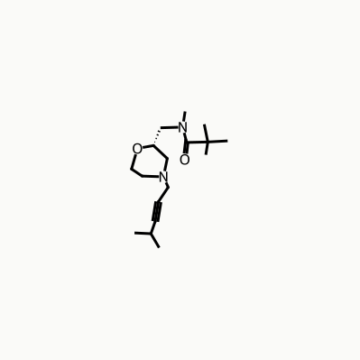 CC(C)C#CCN1CCO[C@H](CN(C)C(=O)C(C)(C)C)C1